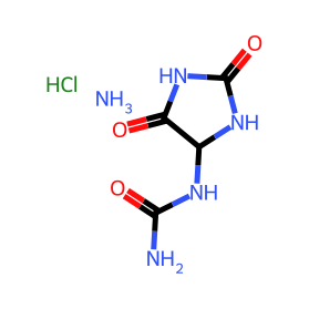 Cl.N.NC(=O)NC1NC(=O)NC1=O